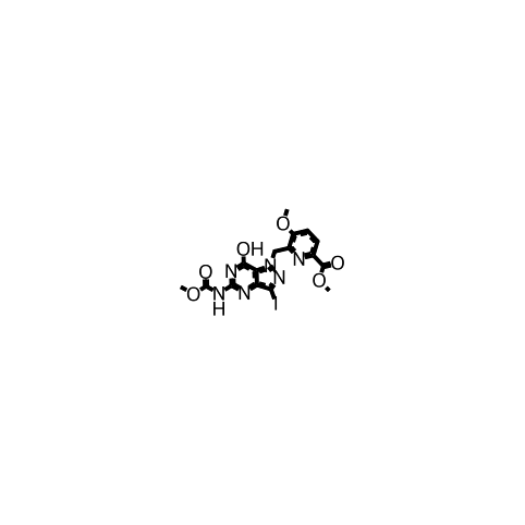 COC(=O)Nc1nc(O)c2c(n1)c(I)nn2Cc1nc(C(=O)OC)ccc1OC